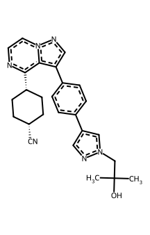 CC(C)(O)Cn1cc(-c2ccc(-c3cnn4ccnc([C@H]5CC[C@@H](C#N)CC5)c34)cc2)cn1